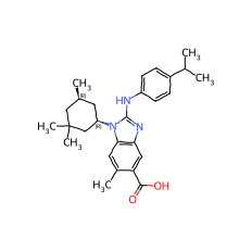 Cc1cc2c(cc1C(=O)O)nc(Nc1ccc(C(C)C)cc1)n2[C@@H]1C[C@H](C)CC(C)(C)C1